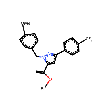 C=C(OCC)c1cc(-c2ccc(C(F)(F)F)cc2)nn1Cc1ccc(OC)cc1